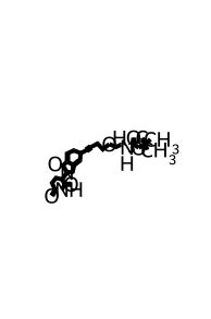 CC(C)(C)OC(=O)NCCOCCC#CC1C=C2CN(C3CCC(=O)NC3=O)C(=O)C2=CC1